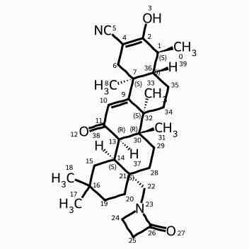 C[C@@H]1C(O)=C(C#N)C[C@]2(C)C3=CC(=O)[C@@H]4[C@@H]5CC(C)(C)CC[C@]5(CN5CCC5=O)CC[C@@]4(C)[C@]3(C)CC[C@@H]12